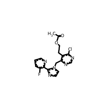 CC(=O)OCCc1c(Cl)ncnc1Cn1ccnc1-c1ncccc1F